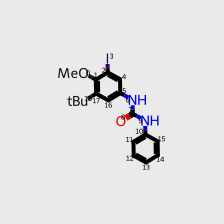 COc1c(I)cc(NC(=O)Nc2ccccc2)cc1C(C)(C)C